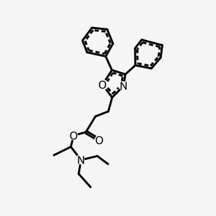 CCN(CC)C(C)OC(=O)CCc1nc(-c2ccccc2)c(-c2ccccc2)o1